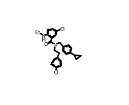 CCNc1ccc(Cl)cc1C(=O)N(CCc1ccc(Cl)cc1)Cc1ccc(C2CC2)cc1